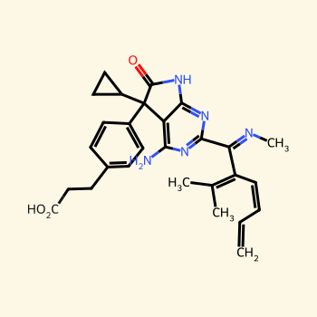 C=C/C=C\C(=C(C)C)/C(=N\C)c1nc(N)c2c(n1)NC(=O)C2(c1ccc(CCC(=O)O)cc1)C1CC1